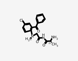 C[C@H](N)C(=O)NC(=O)CN(C)c1ccc(Cl)cc1C(=O)c1ccccc1